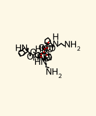 NCCCNC(=O)C1C2CCC(C(OC(=O)c3c[nH]c4ccccc34)C2)C1C(=O)NC(=O)C1C2CCC(CC2OC(=O)c2c[nH]c3ccccc23)C1C(=O)NCCCN